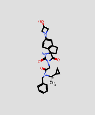 C[C@@H](C1CC1)N(Cc1ccccc1)C(=O)CN1C(=O)NC2(CCc3cc(N4CC(O)C4)ccc32)C1=O